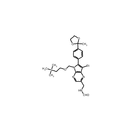 CCc1c(-c2ccc(C3(C)OCCO3)cc2)n(COCC[Si](C)(C)C)c2ncc(CNC=O)nc12